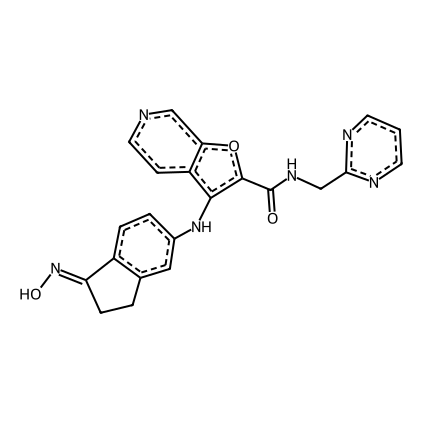 O=C(NCc1ncccn1)c1oc2cnccc2c1Nc1ccc2c(c1)CC/C2=N\O